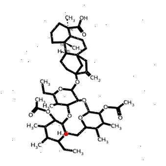 C=C1CC23CCC4[C@](C)(C(=O)O)CCC[C@@]4(C)[C@@H]2CCC1(OC1OC(CC)C(C)C(OC2OC(CC)C(C)C(C)C2OC(C)=O)C1OC1OC(CC)C(C)C(C)C1OC(C)=O)C3